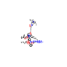 COc1cc(C(=O)N(C)c2ccc(C)cc2OCCCCCC(=O)N2CCC(N(C)C)CC2)ccc1NC(=O)c1ccccc1OCCCNC(=N)N